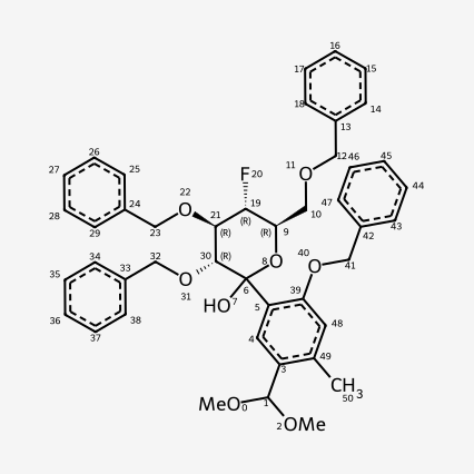 COC(OC)c1cc(C2(O)O[C@H](COCc3ccccc3)[C@@H](F)[C@H](OCc3ccccc3)[C@H]2OCc2ccccc2)c(OCc2ccccc2)cc1C